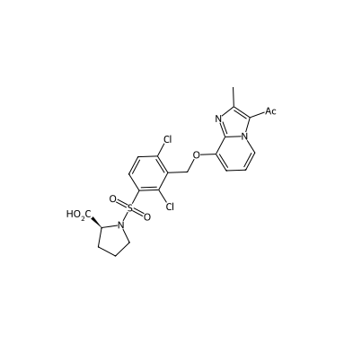 CC(=O)c1c(C)nc2c(OCc3c(Cl)ccc(S(=O)(=O)N4CCC[C@H]4C(=O)O)c3Cl)cccn12